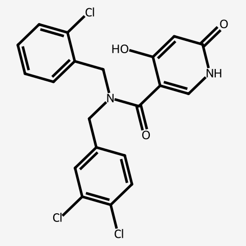 O=C(c1c[nH]c(=O)cc1O)N(Cc1ccc(Cl)c(Cl)c1)Cc1ccccc1Cl